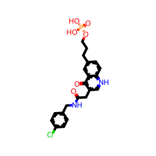 O=C(Cc1c[nH]c2ccc(CCCOP(=O)(O)O)cc2c1=O)NCc1ccc(Cl)cc1